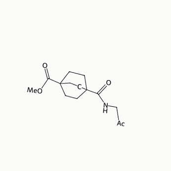 COC(=O)C12CCC(C(=O)NCC(C)=O)(CC1)CC2